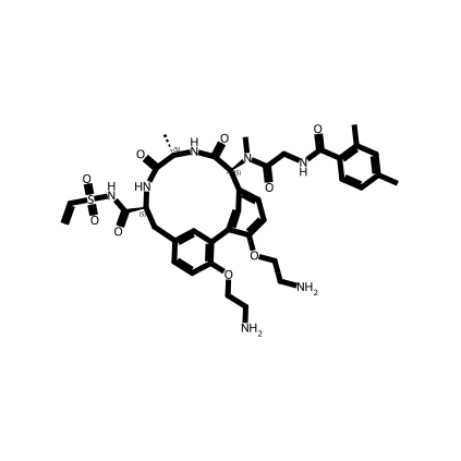 C=CS(=O)(=O)NC(=O)[C@@H]1Cc2ccc(OCCN)c(c2)-c2cc(ccc2OCCN)[C@H](N(C)C(=O)CNC(=O)c2ccc(C)cc2C)C(=O)N[C@@H](C)C(=O)N1